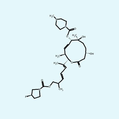 C/C(=C\C=C\C(C)COC(=O)N1CC[C@@H](F)C1)[C@H]1OC(=O)C[C@@H](O)CC[C@](C)(O)[C@@H](OC(=O)N2CCN(C)CC2)/C=C/[C@@H]1C